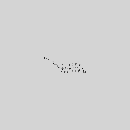 OCC(F)(F)C(F)(F)C(F)(F)C(F)(F)C(F)(F)C(F)(F)CCCCCCF